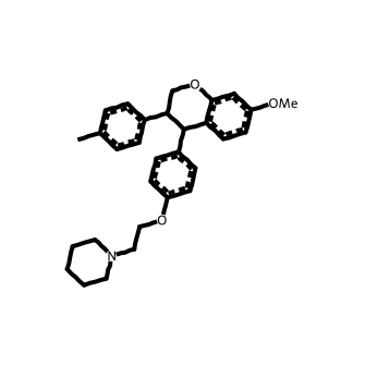 COc1ccc2c(c1)OCC(c1ccc(C)cc1)C2c1ccc(OCCN2CCCCC2)cc1